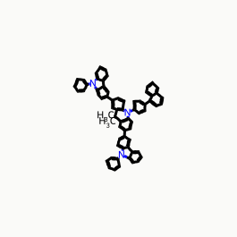 CC1(C)c2cc(-c3ccc4c(c3)c3ccccc3n4-c3ccccc3)ccc2N(c2ccc(-c3cccc4ccccc34)cc2)c2ccc(-c3ccc4c(c3)c3ccccc3n4-c3ccccc3)cc21